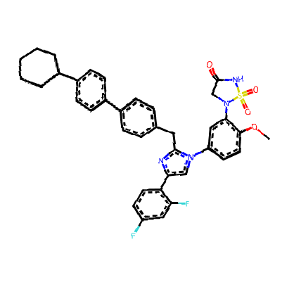 COc1ccc(-n2cc(-c3ccc(F)cc3F)nc2Cc2ccc(-c3ccc(C4CCCCC4)cc3)cc2)cc1N1CC(=O)NS1(=O)=O